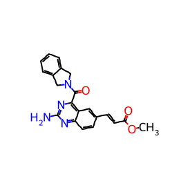 COC(=O)C=Cc1ccc2nc(N)nc(C(=O)N3Cc4ccccc4C3)c2c1